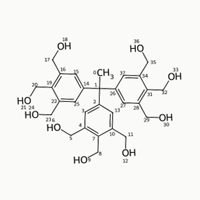 CC(c1cc(CO)c(CO)c(CO)c1)(c1cc(CO)c(CO)c(CO)c1)c1cc(CO)c(CO)c(CO)c1